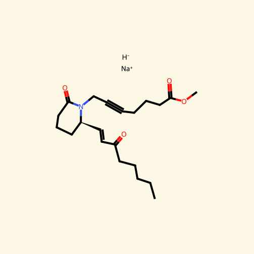 CCCCCC(=O)C=C[C@H]1CCCC(=O)N1CC#CCCCC(=O)OC.[H-].[Na+]